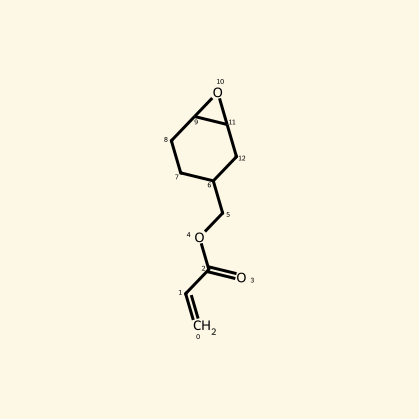 C=CC(=O)OCC1CCC2OC2C1